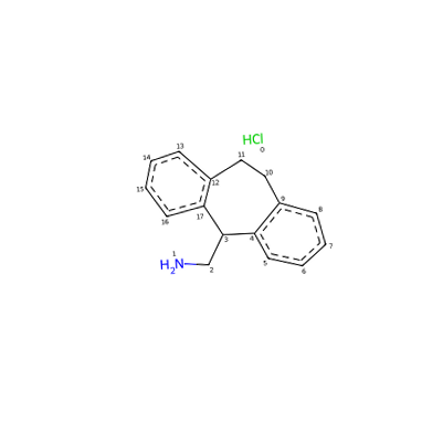 Cl.NCC1c2ccccc2CCc2ccccc21